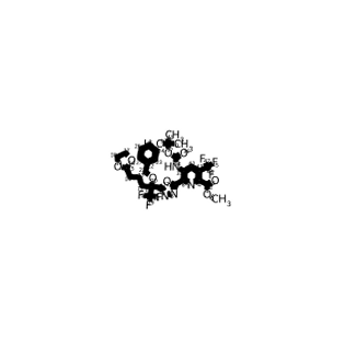 COC(=O)c1nc(-c2nnc(C(CCCC3OCCO3)(OCc3ccccc3)C(F)(F)F)o2)c(NC(=O)OC(C)(C)C)cc1C(F)(F)F